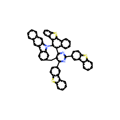 c1ccc2cc3c(cc2c1)c1ccc2cc1n3-c1c(c3ccccc3c3sc4ccccc4c13)-c1nc(-c3ccc4sc5ccccc5c4c3)nc(-c3ccc4sc5ccccc5c4c3)c1C2